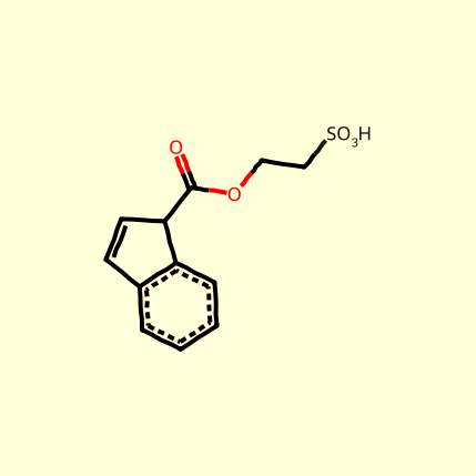 O=C(OCCS(=O)(=O)O)C1C=Cc2ccccc21